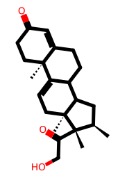 C[C@@H]1CC2C3CCC4=CC(=O)CC[C@]4(C)C3=CC[C@]2(C)[C@@]1(C)C(=O)CO